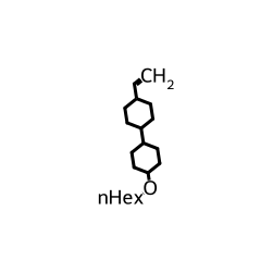 C=CC1CCC(C2CCC(OCCCCCC)CC2)CC1